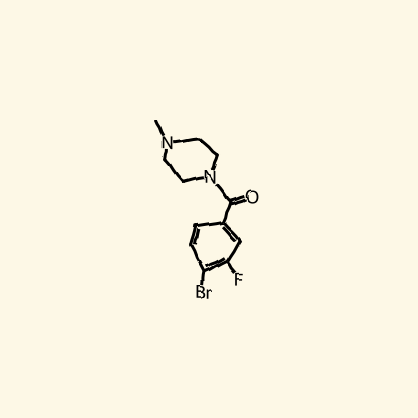 CN1CCN(C(=O)c2ccc(Br)c(F)c2)CC1